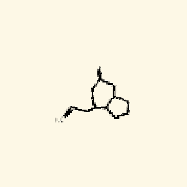 C=CCC1CC(=O)CC2CCCC12